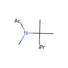 CC(=O)N(C)C(C)(C)C(C)C